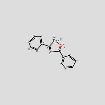 [F-].c1ccc(-c2cc(-c3ccccc3)[te][o+]2)cc1